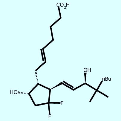 CCCCC(C)(C)[C@H](O)C=C[C@@H]1[C@@H](CC=CCCCC(=O)O)[C@@H](O)CC1(F)F